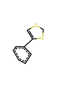 C1=C(c2ccccc2)SCS1